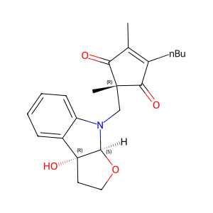 CCCCC1=C(C)C(=O)[C@@](C)(CN2c3ccccc3[C@]3(O)CCO[C@H]23)C1=O